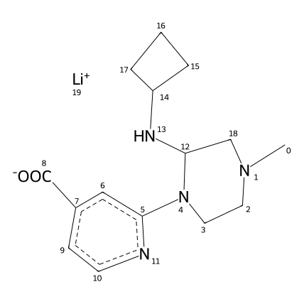 CN1CCN(c2cc(C(=O)[O-])ccn2)C(NC2CCC2)C1.[Li+]